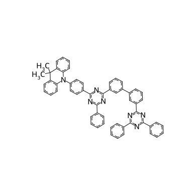 CC1(C)c2ccccc2N(c2ccc(-c3nc(-c4ccccc4)nc(-c4cccc(-c5cccc(-c6nc(-c7ccccc7)nc(-c7ccccc7)n6)c5)c4)n3)cc2)c2ccccc21